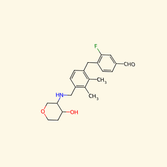 Cc1c(CNC2COCCC2O)ccc(Cc2ccc(C=O)cc2F)c1C